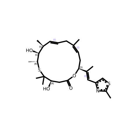 C/C1=C/C[C@@H](/C(C)=C/c2csc(C)n2)OC(=O)C[C@@H](O)C(C)(C)S[C@H](C)[C@@H](O)[C@@H](C)/C=C/C1